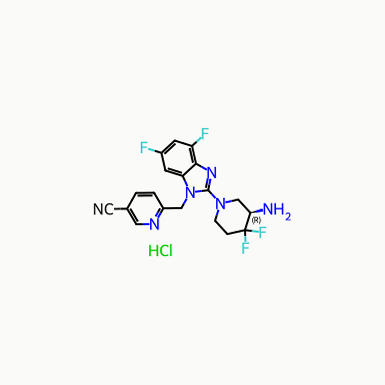 Cl.N#Cc1ccc(Cn2c(N3CCC(F)(F)[C@H](N)C3)nc3c(F)cc(F)cc32)nc1